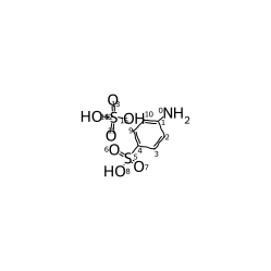 Nc1ccc(S(=O)(=O)O)cc1.O=S(=O)(O)O